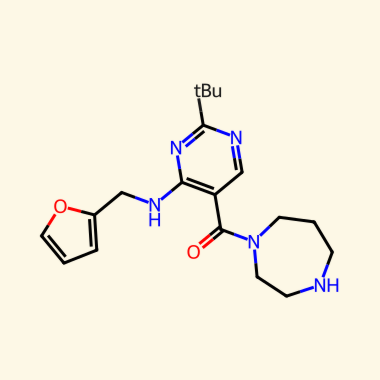 CC(C)(C)c1ncc(C(=O)N2CCCNCC2)c(NCc2ccco2)n1